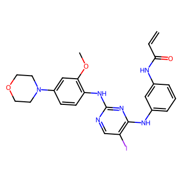 C=CC(=O)Nc1cccc(Nc2nc(Nc3ccc(N4CCOCC4)cc3OC)ncc2I)c1